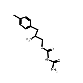 Cc1ccc(CC(N)COC(=O)NC(N)=O)cc1